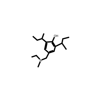 CCC(C)c1cc(CN(C)CC)cc(C(C)CC)c1O